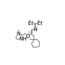 CCC(CC)=N/C=C(\CC1(C)CCCCCC1)OCC1NCCN1C